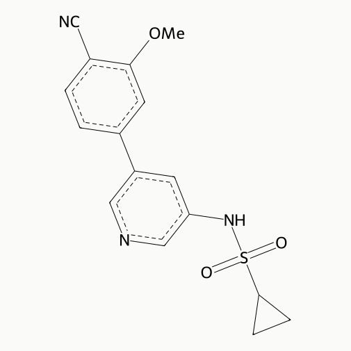 COc1cc(-c2cncc(NS(=O)(=O)C3CC3)c2)ccc1C#N